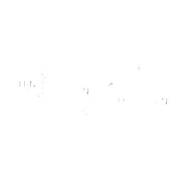 N#Cc1cccc(Oc2cc(Cl)ccc2[C@H]2CC(=O)N(c3ccc(S(N)(=O)=O)cc3)C2)c1